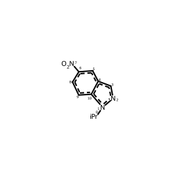 CC(C)n1ncc2cc([N+](=O)[O-])ccc21